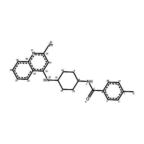 Cc1ccc(C(=O)NC2CCC(Nc3cc(C(C)C)nc4ccccc34)CC2)cc1